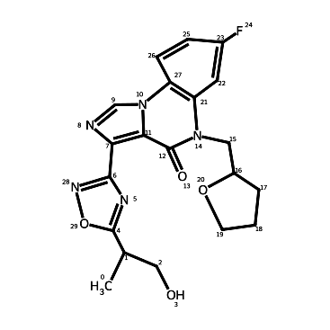 CC(CO)c1nc(-c2ncn3c2c(=O)n(CC2CCCO2)c2cc(F)ccc23)no1